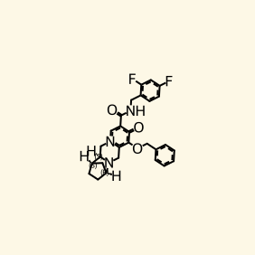 O=C(NCc1ccc(F)cc1F)c1cn2c(c(OCc3ccccc3)c1=O)CN1[C@@H]3CC[C@@H](C3)[C@H]1C2